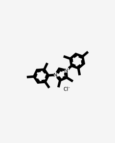 Cc1cc(C)c(-n2c[n+](-c3c(C)cc(C)cc3C)c(C)c2C)c(C)c1.[Cl-]